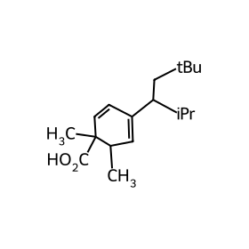 CC(C)C(CC(C)(C)C)C1=CC(C)C(C)(C(=O)O)C=C1